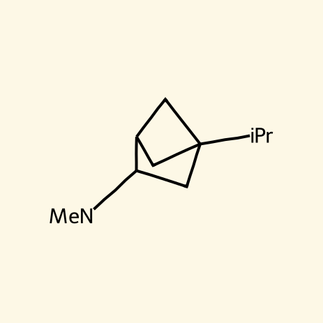 CNC1CC2(C(C)C)CC1C2